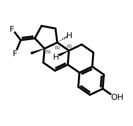 C[C@]12CC=C3c4ccc(O)cc4CC[C@H]3[C@@H]1CCC2=C(F)F